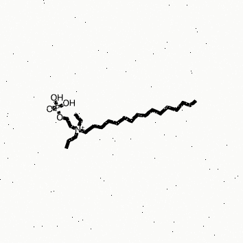 CCCCCCCCCCCCCCCC[N+](CC)(CCC)CCOP(=O)(O)O